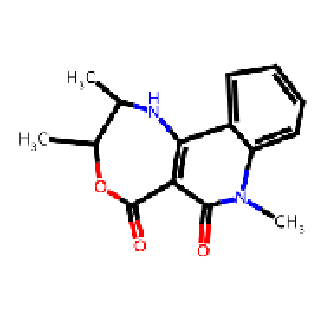 CC1Nc2c(c(=O)n(C)c3ccccc23)C(=O)OC1C